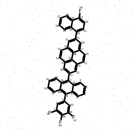 Fc1cc(-c2c3ccccc3c(-c3cc4ccc5cc(-c6ccc(F)c7ccccc67)cc6ccc(c3)c4c56)c3ccccc23)cc(F)c1F